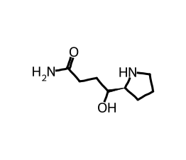 NC(=O)CCC(O)[C@@H]1CCCN1